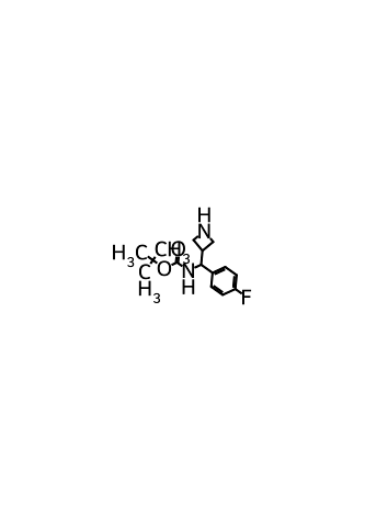 CC(C)(C)OC(=O)NC(c1ccc(F)cc1)C1CNC1